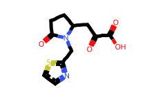 O=C(O)C(=O)CC1CCC(=O)N1Cc1nccs1